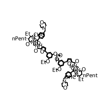 CCCCC[C@@H](C(=O)NCNC(=O)c1ccc(-c2cc(OCC)cc(O[PH](=O)Oc3cc(OCC)cc(-c4ccc(C(=O)NCNC(=O)[C@H](CCCCC)[C@@H](CC)N(C=O)OC(=O)c5ccc(CN6CCOCC6)cc5)o4)c3)c2)o1)[C@@H](CC)N(C=O)OC(=O)c1ccc(CN2CCOCC2)cc1